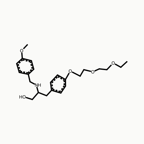 CCOCCOCCOc1ccc(CC(CO)NCc2ccc(OC)cc2)cc1